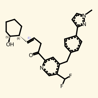 Cn1ccc(-c2ccc(Cc3cc(C(=O)C/C=C/[C@H]4CCCC[C@@H]4O)ncc3C(F)F)cc2)n1